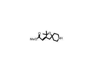 COC(=O)C=C1CC2(CCNCC2)OC1(C)C